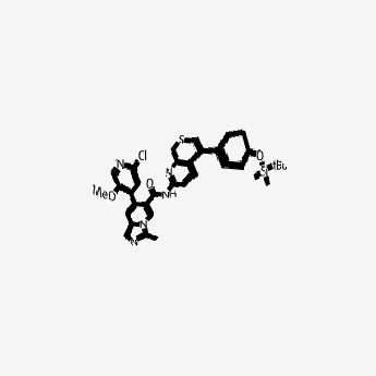 COc1cnc(Cl)cc1-c1cc2cnc(C)n2cc1C(=O)Nc1ccc2c(n1)CSCC2C1=CCC(O[Si](C)(C)C(C)(C)C)CC1